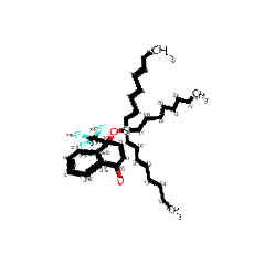 CCCCCCCC[Si](CCCCCCCC)(CCCCCCCC)OC1(C(F)(F)F)C=CC(=O)c2ccccc21